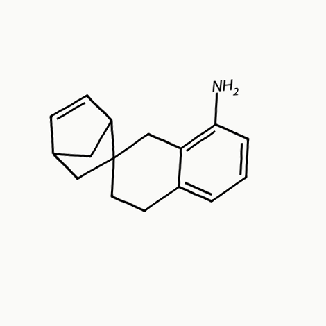 Nc1cccc2c1CC1(CC2)CC2C=CC1C2